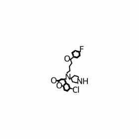 O=C(CCCCN(c1cc(=O)oc2ccc(Cl)cc12)C1CCNCC1)c1ccc(F)cc1